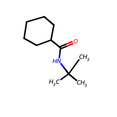 CC(C)(C)NC(=O)C1CCCCC1